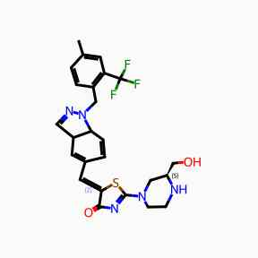 Cc1ccc(CN2N=CC3C=C(/C=C4\SC(N5CCN[C@H](CO)C5)=NC4=O)C=CC32)c(C(F)(F)F)c1